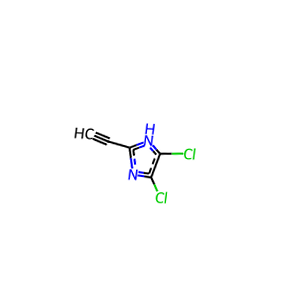 C#Cc1nc(Cl)c(Cl)[nH]1